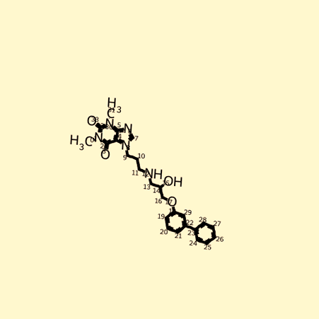 Cn1c(=O)c2c(ncn2CCCNCC(O)COc2cccc(-c3ccccc3)c2)n(C)c1=O